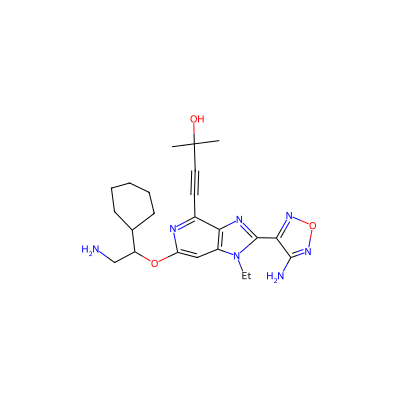 CCn1c(-c2nonc2N)nc2c(C#CC(C)(C)O)nc(OC(CN)C3CCCCC3)cc21